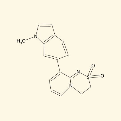 Cn1ccc2ccc(C3=CC=CN4CCS(=O)(=O)N=C34)cc21